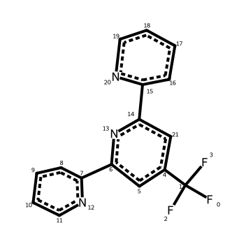 FC(F)(F)c1cc(-c2ccccn2)nc(-c2ccccn2)c1